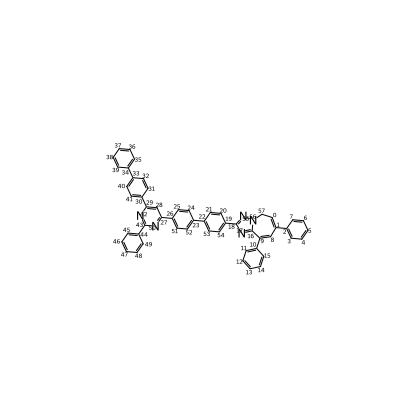 C1=C(c2ccccc2)C=C(c2ccccc2)c2nc(-c3ccc(-c4ccc(-c5cc(-c6ccc(-c7ccccc7)cc6)nc(-c6ccccc6)n5)cc4)cc3)nn2C1